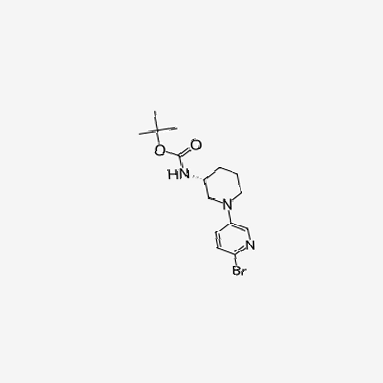 CC(C)(C)OC(=O)N[C@@H]1CCCN(c2ccc(Br)nc2)C1